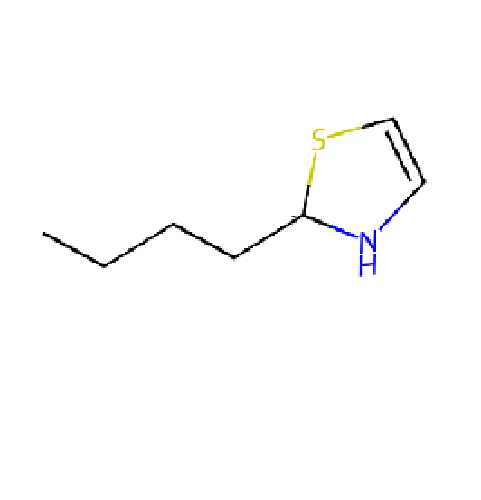 CCCC[C]1NC=CS1